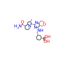 Cc1cc2c(C(N)=O)cccn2c1-c1nc2c(c(NCc3cccc(B(O)O)c3)n1)COCC2